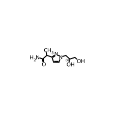 CC(C(N)=O)c1ccn(C[C@H](O)CO)n1